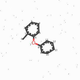 Cc1[c]cccc1Oc1ccccc1